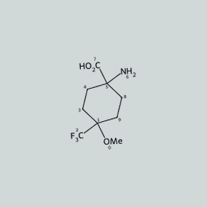 COC1(C(F)(F)F)CCC(N)(C(=O)O)CC1